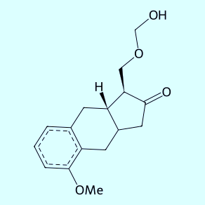 COc1cccc2c1CC1CC(=O)[C@H](COCO)[C@H]1C2